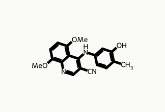 COc1ccc(OC)c2c(Nc3ccc(C)c(O)c3)c(C#N)cnc12